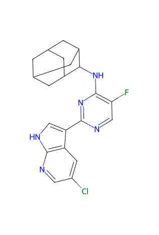 Fc1cnc(-c2c[nH]c3ncc(Cl)cc23)nc1NC1C2CC3CC(C2)CC1C3